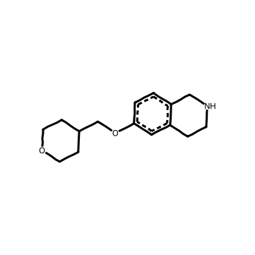 c1cc2c(cc1OCC1CCOCC1)CCNC2